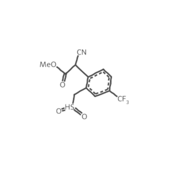 COC(=O)C(C#N)c1ccc(C(F)(F)F)cc1C[SH](=O)=O